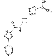 C[C@H](O)c1cnn([C@H]2C[C@@H](NC(=O)c3cc(-c4ccccc4)on3)C2)c1